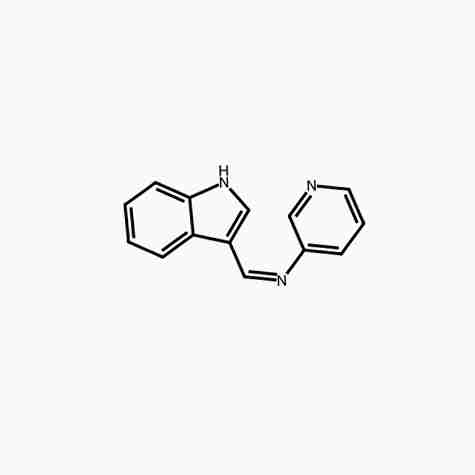 C(=N/c1cccnc1)/c1c[nH]c2ccccc12